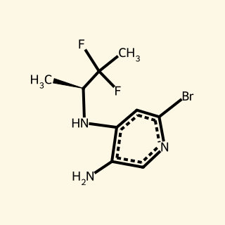 C[C@H](Nc1cc(Br)ncc1N)C(C)(F)F